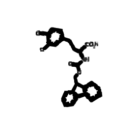 O=C(NC(CCc1ccc(Cl)c(Cl)c1)C(=O)O)OCC1c2ccccc2-c2ccccc21